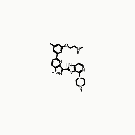 Cc1cc(OCCN(C)C)cc(-c2ccc3[nH]nc(-c4nc5c(N6CCN(C)CC6)nccc5[nH]4)c3n2)c1